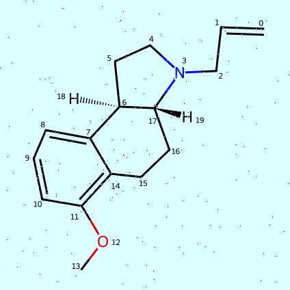 C=CCN1CC[C@@H]2c3cccc(OC)c3CC[C@H]21